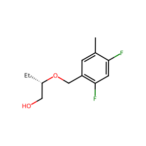 CC[C@@H](CO)OCc1cc(C)c(F)cc1F